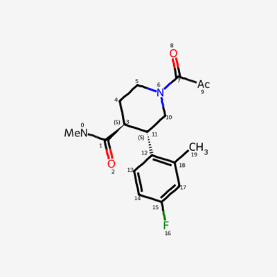 CNC(=O)[C@H]1CCN(C(=O)C(C)=O)C[C@@H]1c1ccc(F)cc1C